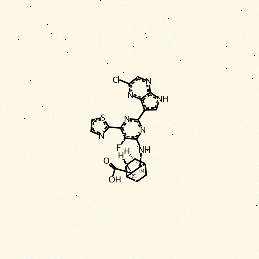 O=C(O)[C@H]1C2CCC(CC2)[C@@H]1Nc1nc(-c2c[nH]c3ncc(Cl)nc23)nc(-c2nccs2)c1F